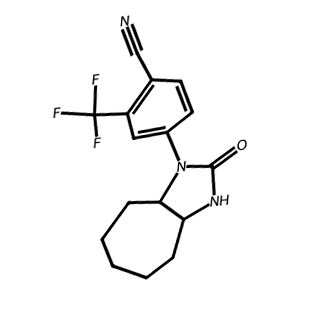 N#Cc1ccc(N2C(=O)NC3CCCCCC32)cc1C(F)(F)F